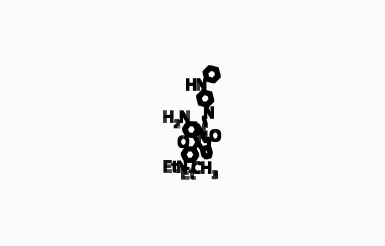 CCN(CC)c1cc2c(cc1C)C1(c3ccc(N)cc3O2)c2ccccc2C(=O)N1/N=C/C=N/c1ccc(Nc2ccccc2)cc1